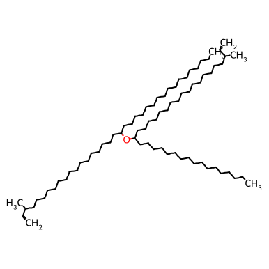 C=CC(C)CCCCCCCCCCCCCCCCC(CCCCCCCCCCCCCCCCC)OC(CCCCCCCCCCCCCCCCC)CCCCCCCCCCCCCCCCC(C)C=C